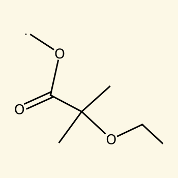 [CH2]OC(=O)C(C)(C)OCC